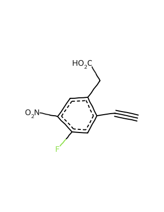 C#Cc1cc(F)c([N+](=O)[O-])cc1CC(=O)O